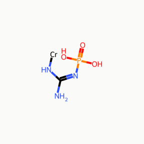 NC(=NP(=O)(O)O)[NH][Cr]